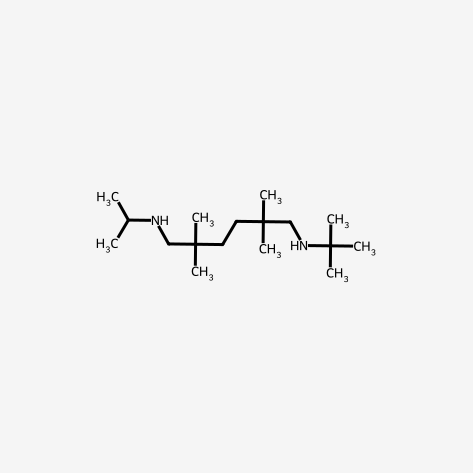 CC(C)NCC(C)(C)CCC(C)(C)CNC(C)(C)C